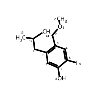 COCc1cc(I)c(O)cc1CC(C)C